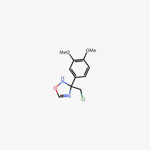 COc1ccc(C2(CCl)N=CON2)cc1OC